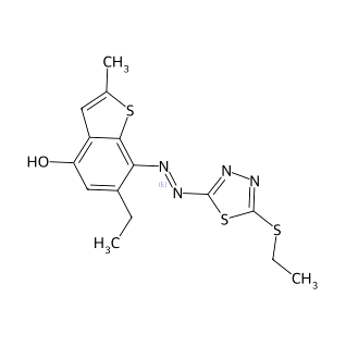 CCSc1nnc(/N=N/c2c(CC)cc(O)c3cc(C)sc23)s1